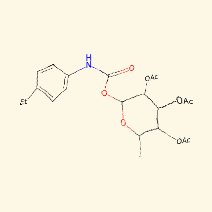 CCc1ccc(NC(=O)OC2OC(C)C(OC(C)=O)C(OC(C)=O)C2OC(C)=O)cc1